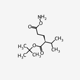 CC(C)[C@H](CCC(=O)ON)C(=O)OC(C)(C)C